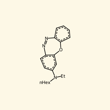 CCCCCCN(CC)c1ccc2c(c1)Oc1ccccc1N=N2